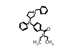 CCN(CC)C(=O)c1ccc(N(c2ccccc2)C2CCN(Cc3ccccc3)C2)cc1